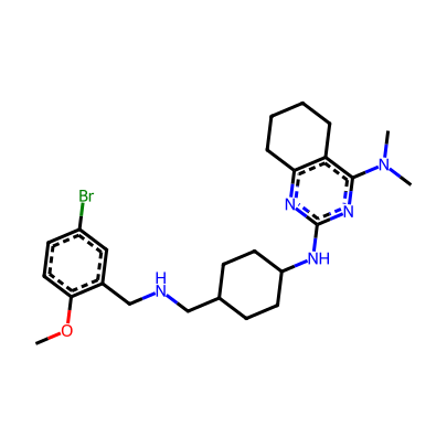 COc1ccc(Br)cc1CNCC1CCC(Nc2nc3c(c(N(C)C)n2)CCCC3)CC1